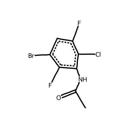 CC(=O)Nc1c(F)c(Br)cc(F)c1Cl